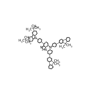 CC(C)(C)c1ccc2c(c1)c1cc(C(C)(C)C)ccc1n2-c1ccc(-c2ccc(N(c3ccc(-c4ccc5c(c4)C(C)(C)c4ccccc4-5)cc3)c3ccc(-c4ccc5c(c4)C(C)(C)c4ccccc4-5)cc3)c3nsnc23)cc1